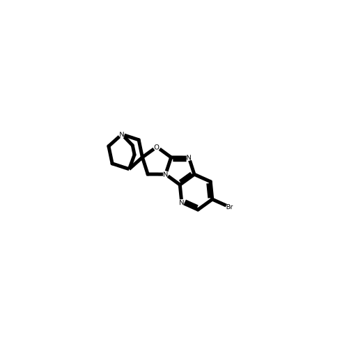 Brc1cnc2c(c1)nc1n2CC2(CN3CCC2CC3)O1